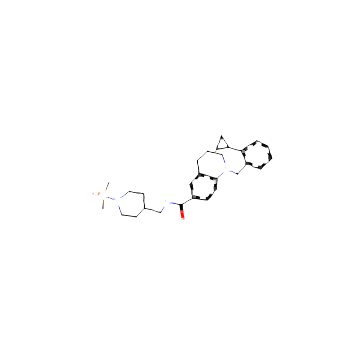 C[SH](C)(=O)N1CCC(CNC(=O)c2ccc3c(c2)CCCN3Cc2ccccc2C2CC2)CC1